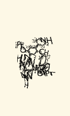 Cc1cc(Nc2nc(Nc3ccccc3S(=O)(=O)C(C)C)c3n[nH]nc3n2)c(OC(C)C)cc1C1CCNCC1